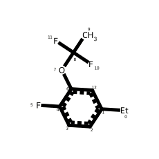 CCc1ccc(F)c(OC(C)(F)F)c1